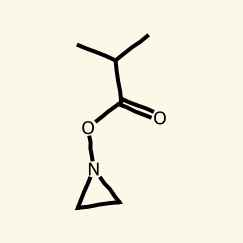 CC(C)C(=O)ON1CC1